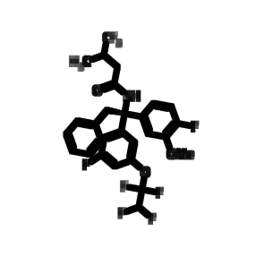 COc1cc([C@@](Cc2ccccc2)(NC(=O)CC(C)C(F)(F)F)c2cc(F)cc(OC(F)(F)C(F)F)c2)ccc1F